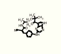 CC(C)NC(=O)C(C#N)=Cc1ccc(Nc2cnc3[nH]cc(C(=O)C(C)(C)C)c3n2)cc1